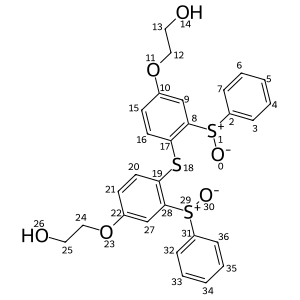 [O-][S+](c1ccccc1)c1cc(OCCO)ccc1Sc1ccc(OCCO)cc1[S+]([O-])c1ccccc1